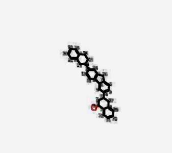 O=C1CC(c2ccc3c(c2)-c2ccc(C4CCc5ccccc5C4)cc2C3)Cc2ccccc21